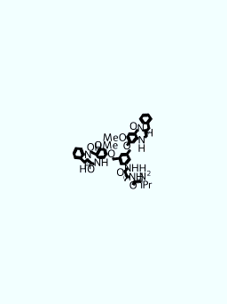 COc1cc2c(cc1OCc1cc(COc3cc4c(cc3OC)C(O)N3c5ccccc5C[C@H]3C(O)N4)cc(NC(=O)[C@H](C)NC(=O)[C@@H](N)C(C)C)c1)NC[C@@H]1Cc3ccccc3N1C2=O